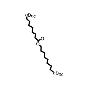 CCCCCCCCCCCCCCCCCCOC([O])CCCCCCCCCCCCCCCCC